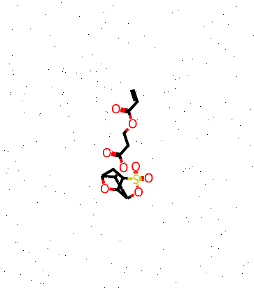 C=CC(=O)OCCC(=O)OC1C2CC3C(O2)C1OS3(=O)=O